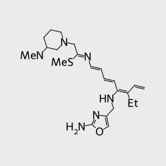 C=C\C(CC)=C(/C=C/C=C/N=C(/CN1CCCC(NC)C1)SC)NCc1coc(N)n1